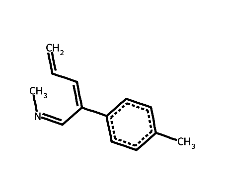 C=C/C=C(\C=N/C)c1ccc(C)cc1